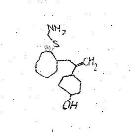 C=C(CC1CCCCC[C@@H]1SCN)C1CCC(O)CC1